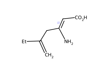 C=C(CC)C/C(N)=C/C(=O)O